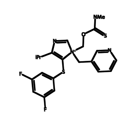 CNC(=S)OC[N+]1(Cc2cccnc2)C=NC(C(C)C)=C1Sc1cc(F)cc(F)c1